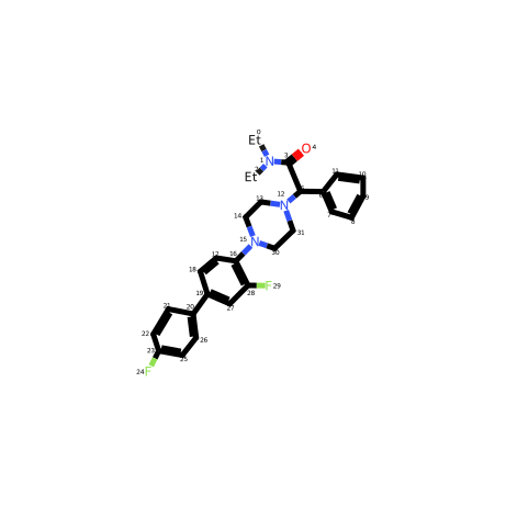 CCN(CC)C(=O)C(c1ccccc1)N1CCN(c2ccc(-c3ccc(F)cc3)cc2F)CC1